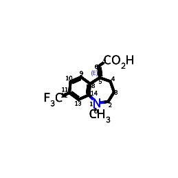 CN1CCC/C(=C\C(=O)O)c2ccc(C(F)(F)F)cc21